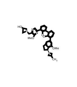 COc1cc(-c2cccc(-c3cccc(-c4cnc(CN5CC(O)C5)c(OC)n4)c3Cl)c2Cl)cc2c1[C@@H](N1CC(C)C1)CC2